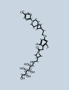 O=C(Cc1c(F)cc(OCCC2CC3(CCN(c4ncc(Cl)cn4)CC3)C2)cc1F)N1CC(CNC[C@H](O)[C@@H](O)[C@H](O)[C@H](O)CO)C1